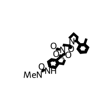 CNC(=O)Nc1ccc2c(c1)CC[C@@]21OC(=O)N(CC(=O)N2CCCC2c2ccccc2C)C1=O